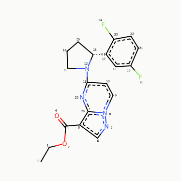 CCOC(=O)c1cnn2ccc(N3CCC[C@@H]3c3cc(F)ccc3F)nc12